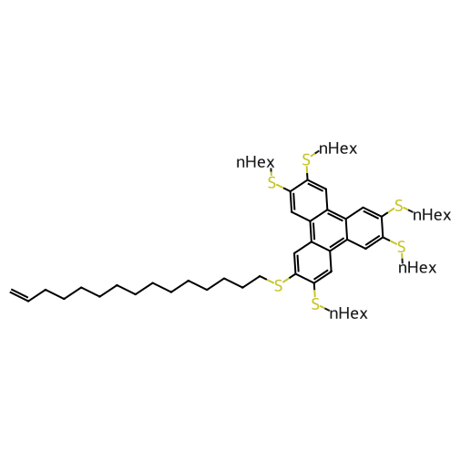 C=CCCCCCCCCCCCCCSc1cc2c3cc(SCCCCCC)c(SCCCCCC)cc3c3cc(SCCCCCC)c(SCCCCCC)cc3c2cc1SCCCCCC